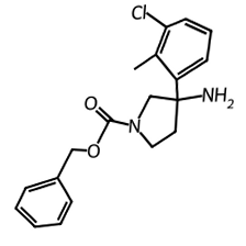 Cc1c(Cl)cccc1C1(N)CCN(C(=O)OCc2ccccc2)C1